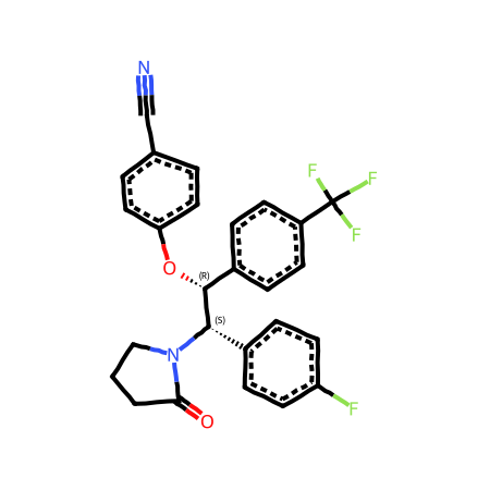 N#Cc1ccc(O[C@H](c2ccc(C(F)(F)F)cc2)[C@H](c2ccc(F)cc2)N2CCCC2=O)cc1